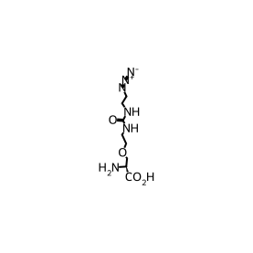 [N-]=[N+]=NCCNC(=O)NCCOC[C@H](N)C(=O)O